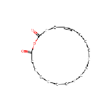 O=C1CCC=CCCCCCCCCCCCCCC(=O)O1